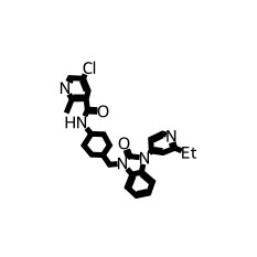 CCc1cc(-n2c(=O)n(CC3CCC(NC(=O)c4cc(Cl)cnc4C)CC3)c3ccccc32)ccn1